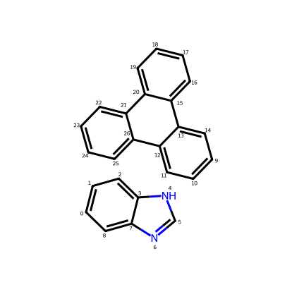 c1ccc2[nH]cnc2c1.c1ccc2c(c1)c1ccccc1c1ccccc21